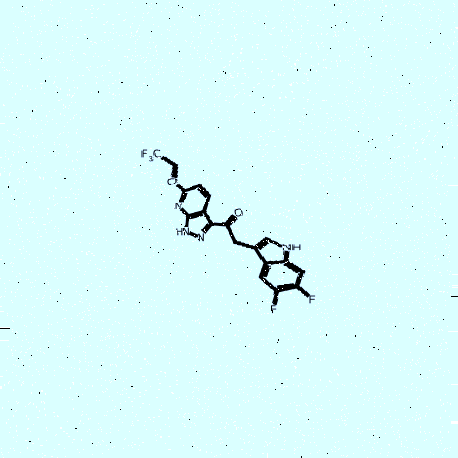 O=C(Cc1c[nH]c2cc(F)c(F)cc12)c1n[nH]c2nc(OCC(F)(F)F)ccc12